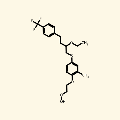 CCOC(CCc1ccc(C(F)(F)F)cc1)CSc1ccc(OCCOO)c(C)c1